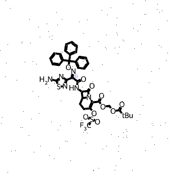 CC(C)(C)C(=O)OCOC(=O)C1=C(OS(=O)(=O)C(F)(F)F)CCC2C(NC(=O)/C(=N/OC(c3ccccc3)(c3ccccc3)c3ccccc3)c3nsc(N)n3)C(=O)N12